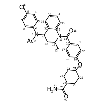 CC(=O)N(c1ccc(Cl)cc1)C1C[C@H](C)N(C(=O)c2ccc(OC3CCC(C(N)=O)CC3)cc2)c2ccccc21